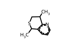 CC1CSC(C)c2cccnc21